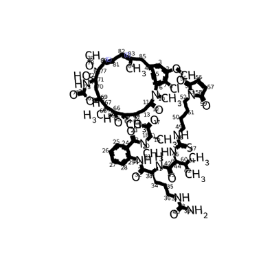 COc1cc2cc(c1Cl)N(C)C(=O)C[C@H](OC(=O)[C@H](C)N(C)C(=O)c1ccccc1NC(=O)[C@H](CCCNC(N)=O)NC(=O)[C@@H](NC(=S)NCCCCN1C(=O)C=CC1=O)C(C)C)[C@]1(C)O[C@H]1[C@H](C)[C@@H]1C[C@@](O)(NC(=O)O1)[C@H](OC)/C=C/C=C(\C)C2